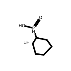 O=[PH](O)C1CCCCC1.[LiH]